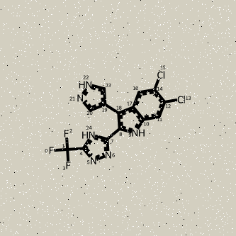 FC(F)(F)c1nnc(-c2[nH]c3cc(Cl)c(Cl)cc3c2-c2cn[nH]c2)[nH]1